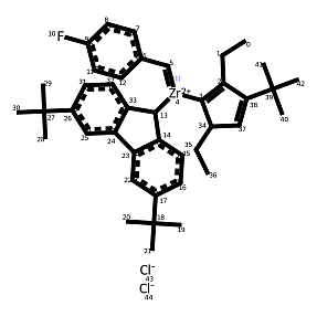 CCC1=[C](/[Zr+2](=[CH]/c2ccc(F)cc2)[CH]2c3ccc(C(C)(C)C)cc3-c3cc(C(C)(C)C)ccc32)C(CC)C=C1C(C)(C)C.[Cl-].[Cl-]